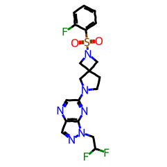 O=S(=O)(c1ccccc1F)N1CC2(CCN(c3cnc4cnn(CC(F)F)c4n3)C2)C1